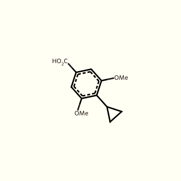 COc1cc(C(=O)O)cc(OC)c1C1CC1